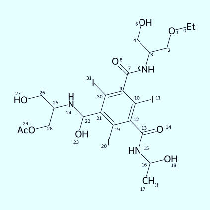 CCOCC(CO)NC(=O)c1c(I)c(C(=O)NC(C)O)c(I)c(C(O)NC(CO)COC(C)=O)c1I